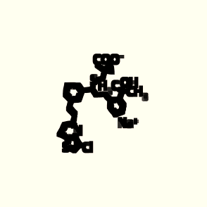 CC(C)(O)c1ccccc1CCC(SCC1(CC(=O)[O-])CC1)c1cccc(/C=C/c2ccc3scc(Cl)c3n2)c1.[Na+]